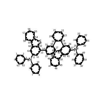 c1ccc(N(c2ccccc2)c2cc(-c3cccc(-c4ccccc4-c4cc(N(c5ccccc5)c5ccccc5)cc5c4sc4ccccc45)c3)c3sc4ccccc4c3c2)cc1